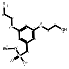 CCC(C)OP(=O)(O)Cc1cc(OCCO)cc(OCCO)c1